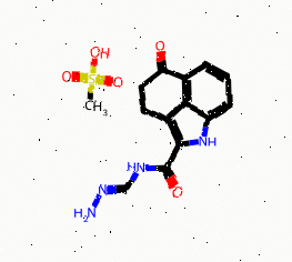 CS(=O)(=O)O.NN=CNC(=O)c1[nH]c2cccc3c2c1CCC3=O